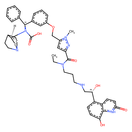 CCN(CCCNC[C@H](O)c1ccc(O)c2[nH]c(=O)ccc12)C(=O)c1cc(COc2cccc([C@H](c3ccccc3)N(C(=O)O)[C@H]3CN4CCC3CC4)c2)n(C)n1